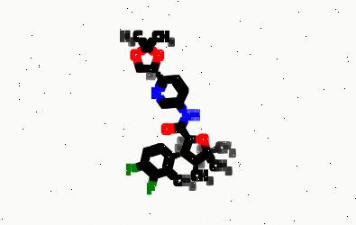 Cc1c([C@@H]2[C@@H](C(=O)Nc3ccc([C@@H]4COC(C)(C)O4)nc3)O[C@](C)(C(F)(F)F)[C@@H]2C)ccc(F)c1F